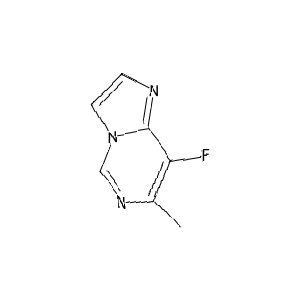 Cc1ncn2ccnc2c1F